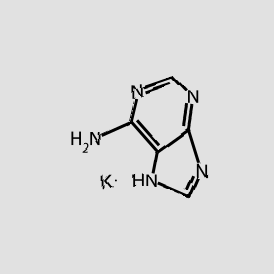 Nc1ncnc2nc[nH]c12.[K]